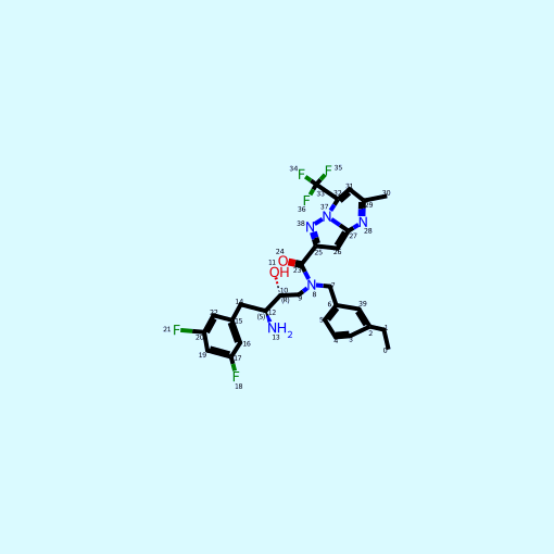 CCc1cccc(CN(C[C@@H](O)[C@@H](N)Cc2cc(F)cc(F)c2)C(=O)c2cc3nc(C)cc(C(F)(F)F)n3n2)c1